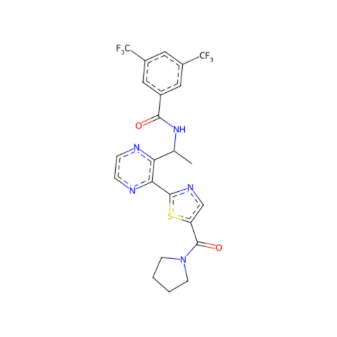 CC(NC(=O)c1cc(C(F)(F)F)cc(C(F)(F)F)c1)c1nccnc1-c1ncc(C(=O)N2CCCC2)s1